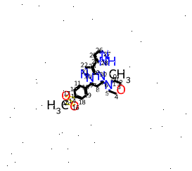 C[C@@H]1COCCN1c1cc(-c2ccc(S(C)(=O)=O)cc2)n2ncc(-c3ccn[nH]3)c2n1